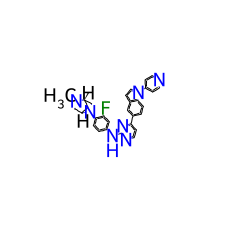 CN1C[C@@H]2C[C@H]1CN2c1ccc(Nc2nccc(-c3ccc4c(ccn4-c4ccncc4)c3)n2)cc1F